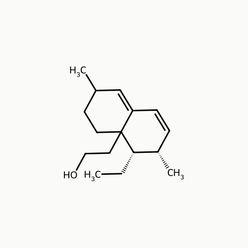 CC[C@H]1[C@@H](C)C=CC2=CC(C)CCC21CCO